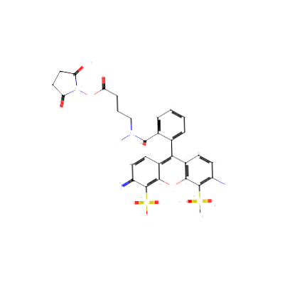 CN(CCCC(=O)ON1C(=O)CCC1=O)C(=O)c1ccccc1-c1c2ccc(=N)c(S(=O)(=O)O)c-2oc2c(S(=O)(=O)O)c(N)ccc12